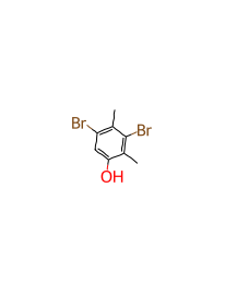 Cc1c(O)cc(Br)c(C)c1Br